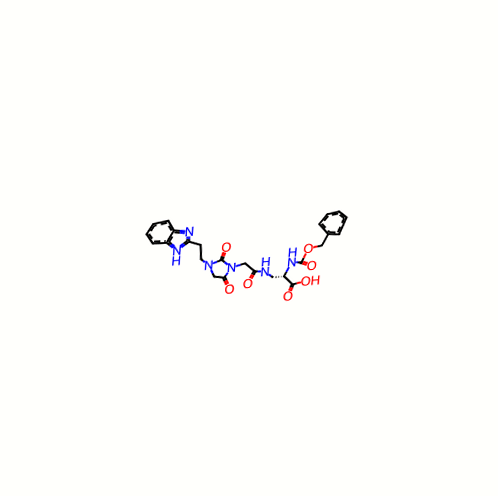 O=C(CN1C(=O)CN(CCc2nc3ccccc3[nH]2)C1=O)NC[C@H](NC(=O)OCc1ccccc1)C(=O)O